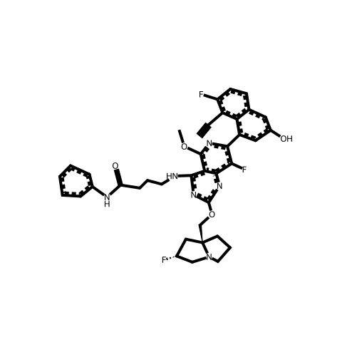 C#Cc1c(F)ccc2cc(O)cc(-c3nc(OC)c4c(NCCCC(=O)Nc5ccccc5)nc(OC[C@@]56CCCN5C[C@H](F)C6)nc4c3F)c12